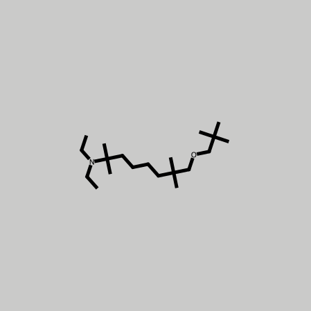 CCN(CC)C(C)(C)CCCCC(C)(C)COCC(C)(C)C